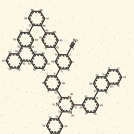 N#Cc1ccc(-c2cccc(-c3nc(-c4ccccc4)nc(-c4cccc(-c5ccc6ccccc6c5)c4)n3)c2)cc1-c1ccc(-c2ccccc2-c2ccc3c4ccccc4c4ccccc4c3c2)cc1